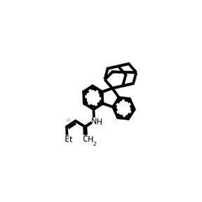 C=C(/C=C\CC)Nc1cccc2c1-c1ccccc1C21C2CC3CC(C2)CC1C3